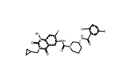 CC(C)n1c(=O)n(CC2CC2)c(=O)c2cc(NC(=O)N3CCC[C@@H](NC(=O)c4cc(F)ccc4Cl)C3)c(F)cc21